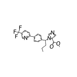 CCCC(c1ccc(-c2ccc(C(F)(F)F)cn2)cc1)n1cncc1C(=O)OC